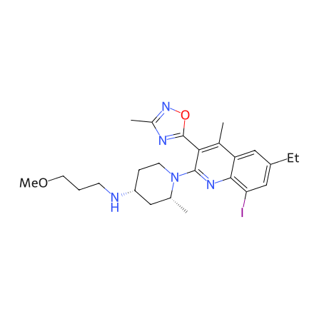 CCc1cc(I)c2nc(N3CC[C@@H](NCCCOC)C[C@H]3C)c(-c3nc(C)no3)c(C)c2c1